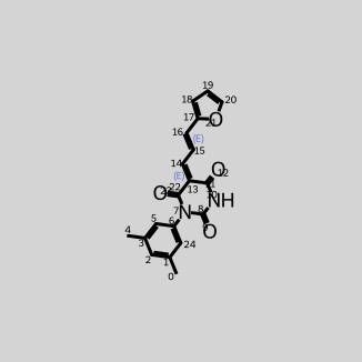 Cc1cc(C)cc(N2C(=O)NC(=O)/C(=C\C=C\c3ccco3)C2=O)c1